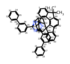 CC1(C)c2cccc(-c3nc(-c4cccc(-c5ccccc5)c4)nc(-c4cccc(-c5ccccc5)c4)n3)c2-c2c1ccc1c2C2(c3ccccc3-1)C1CC3CC(C1)CC2C3